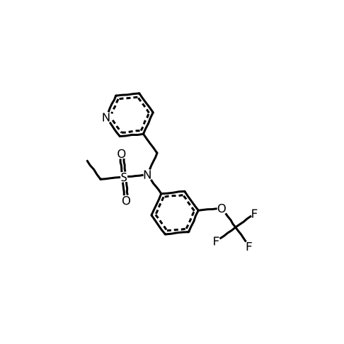 CCS(=O)(=O)N(Cc1cccnc1)c1cccc(OC(F)(F)F)c1